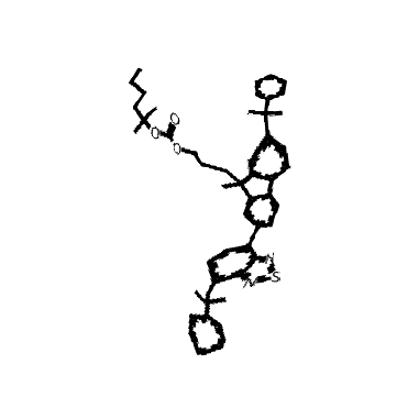 CCCCC(C)(C)OC(=O)OCCCC1(C)c2cc(-c3ccc(C(C)(C)c4ccccc4)c4nsnc34)ccc2-c2ccc(C(C)(C)c3ccccc3)cc21